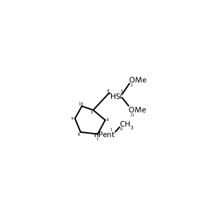 CCCCCC.CO[SiH](CC1CCCCC1)OC